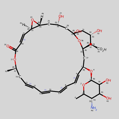 CC1O[C@@H](O[C@H]2/C=C/C=C/C=C/C=C/C[C@@H](C)OC(=O)/C=C/[C@H]3O[C@@H]3C[C@H](O)C[C@]3(O)C[C@H](O)[C@@H](C(=O)O)[C@H](C2)O3)C(O)C(O)[C@@H]1N